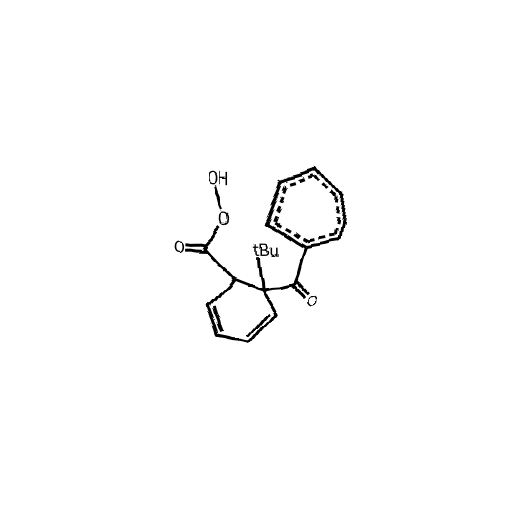 CC(C)(C)C1(C(=O)c2ccccc2)C=CC=CC1C(=O)OO